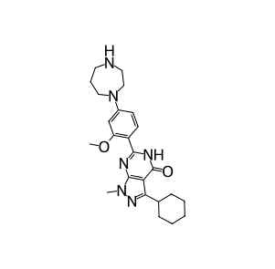 COc1cc(N2CCCNCC2)ccc1-c1nc2c(c(C3CCCCC3)nn2C)c(=O)[nH]1